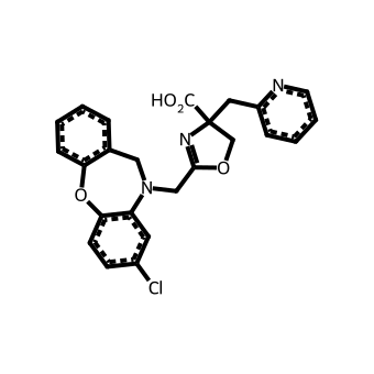 O=C(O)C1(Cc2ccccn2)COC(CN2Cc3ccccc3Oc3ccc(Cl)cc32)=N1